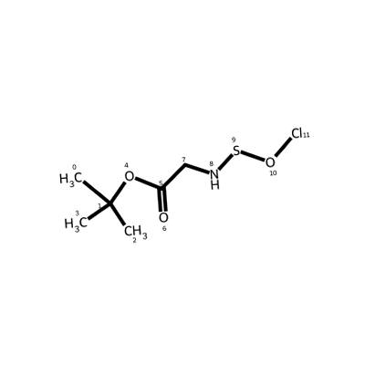 CC(C)(C)OC(=O)CNSOCl